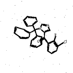 O=C(c1cccc(Cl)c1F)c1cncn1C(c1ccccc1)(c1ccccc1)c1ccccc1